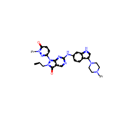 C=CCn1c(=O)c2cnc(Nc3ccc4c(N5CCN(C(C)C)CC5)c[nH]c4c3)nc2n1-c1ccc(=O)n(C(C)C)n1